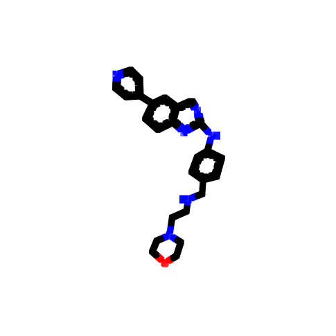 c1cc(-c2ccc3nc(Nc4ccc(CNCCN5CCOCC5)cc4)ncc3c2)ccn1